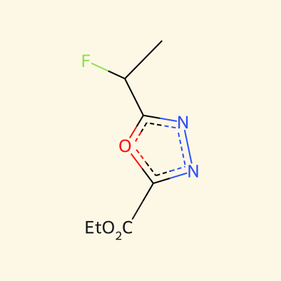 CCOC(=O)c1nnc(C(C)F)o1